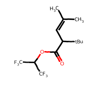 CC(C)=CC(C(=O)OC(C(F)(F)F)C(F)(F)F)C(C)(C)C